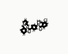 O=C(Nc1ccc(C(=O)N2Cc3cccn3Cc3ccccc32)cc1)c1cccc(Cl)c1Cl